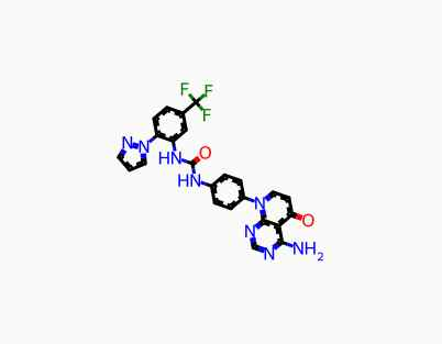 Nc1ncnc2c1c(=O)ccn2-c1ccc(NC(=O)Nc2cc(C(F)(F)F)ccc2-n2cccn2)cc1